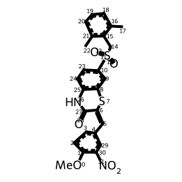 COc1ccc(C=C2Sc3cc(S(=O)(=O)Cc4c(C)cccc4C)ccc3NC2=O)cc1[N+](=O)[O-]